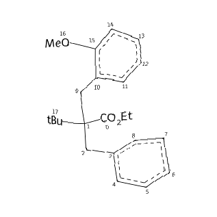 CCOC(=O)C(Cc1ccccc1)(Cc1ccccc1OC)C(C)(C)C